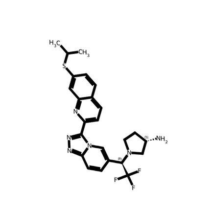 CC(C)Sc1ccc2ccc(-c3nnc4ccc([C@@H](N5CC[C@H](N)C5)C(F)(F)F)cn34)nc2c1